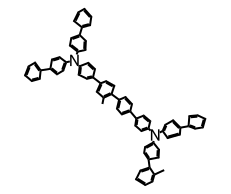 Cc1ccccc1-c1ccc(N(c2ccc(-c3ccccc3)cc2)c2ccc(-c3ccc(-c4ccc(-c5ccc(N(c6ccc(-c7ccccc7)cc6)c6ccc(-c7ccccc7)cc6)cc5)cc4C)cc3)cc2)cc1